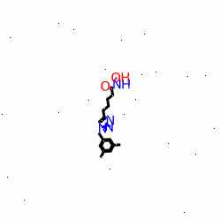 Cc1cc(C)cc(Cn2cc(CCCCC(=O)NO)nn2)c1